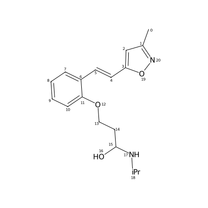 Cc1cc(C=Cc2ccccc2OCCC(O)NC(C)C)on1